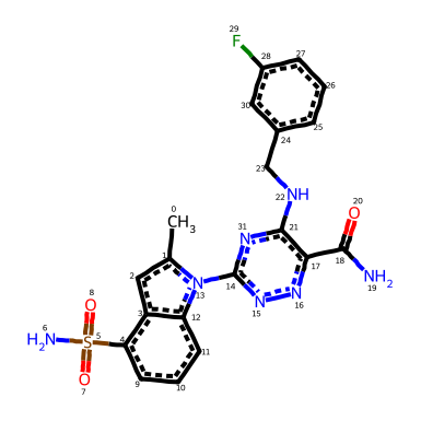 Cc1cc2c(S(N)(=O)=O)cccc2n1-c1nnc(C(N)=O)c(NCc2cccc(F)c2)n1